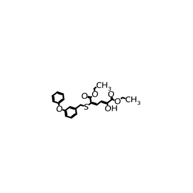 CCOC(=O)C(O)=CC=C(SCc1cccc(Oc2ccccc2)c1)C(=O)OCC